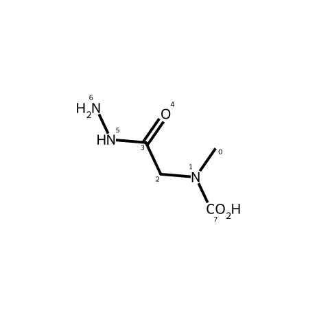 CN(CC(=O)NN)C(=O)O